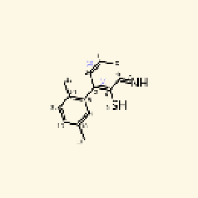 C/C=C\C(=C(\S)C=N)c1cc(C)ccc1C